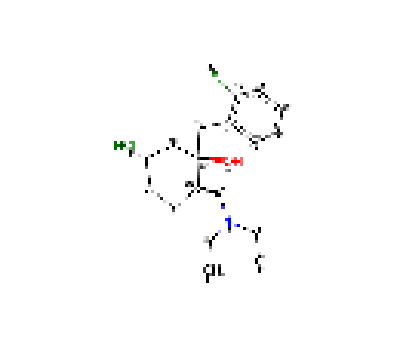 CCN(CC)C[C@H]1CCCC[C@]1(O)Cc1ccccc1F.Cl